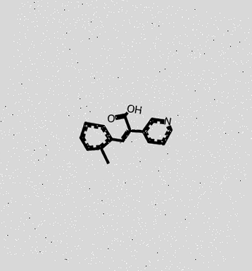 Cc1ccccc1C=C(C(=O)O)c1cccnc1